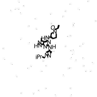 C=CC(=O)N1CCC[C@@H](Nc2nc(Nc3cnn(CC(C)C)c3)nc3[nH]nc(C)c23)C1